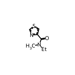 CCN(C)C(=O)c1cscn1